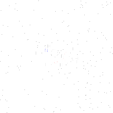 COc1cc(N(C)C)ccc1B1OC(C)(C)C(C)(C)O1